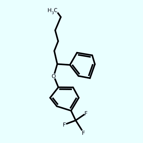 CCCCCC(Oc1ccc(C(F)(F)F)cc1)c1ccccc1